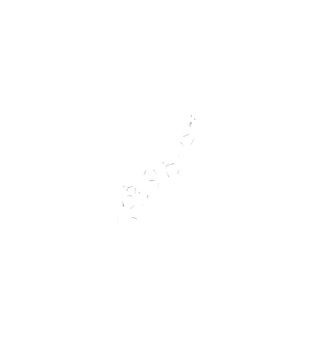 COC[C@@H](Cn1c(Cc2cc(F)c(-c3cccc(OCc4ccc(C#N)cc4F)n3)cc2F)nc2ccc(C(=O)O)cc21)OC